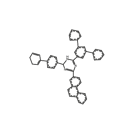 C1=CC(c2ccc(C3N=C(c4ccc5c(ccc6ccccc65)c4)N=C(c4cc(-c5ccccc5)cc(-c5ccccc5)c4)N3)cc2)=CCC1